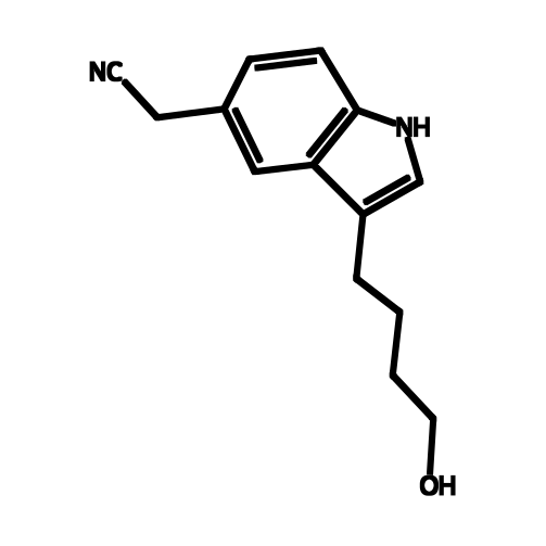 N#CCc1ccc2[nH]cc(CCCCO)c2c1